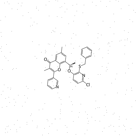 Cc1cc([C@@H](C)Oc2ccc(Cl)nc2SCc2ccccc2)c2oc(-c3cccnc3)c(C)c(=O)c2c1